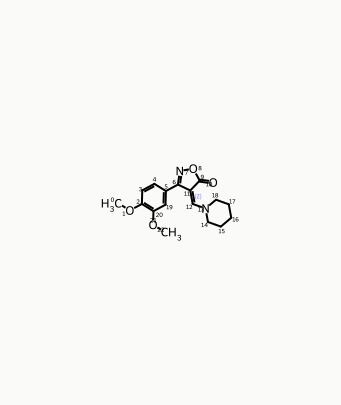 COc1ccc(C2=NOC(=O)/C2=C\N2CCCCC2)cc1OC